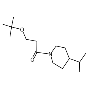 CC(C)C1CCN(C(=O)CCOC(C)(C)C)CC1